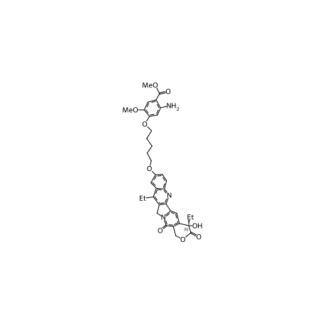 CCc1c2c(nc3ccc(OCCCCCOc4cc(N)c(C(=O)OC)cc4OC)cc13)-c1cc3c(c(=O)n1C2)COC(=O)[C@]3(O)CC